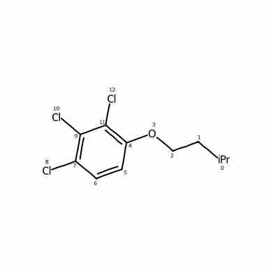 CC(C)CCOc1ccc(Cl)c(Cl)c1Cl